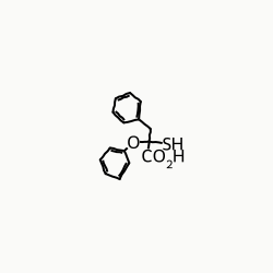 O=C(O)C(S)(Cc1ccccc1)Oc1ccccc1